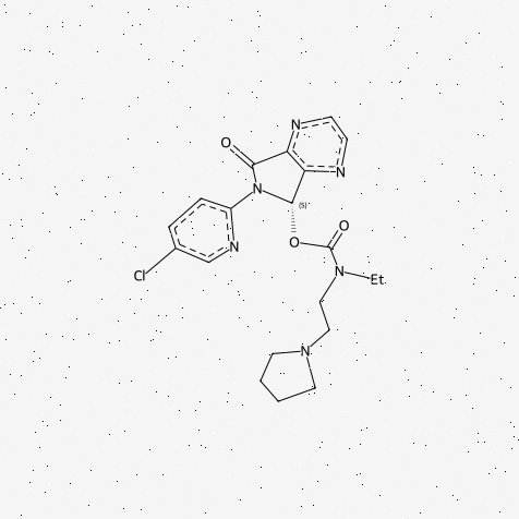 CCN(CCN1CCCC1)C(=O)O[C@H]1c2nccnc2C(=O)N1c1ccc(Cl)cn1